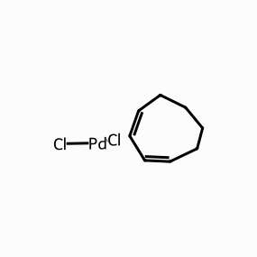 C1=CCCCCC=C1.[Cl][Pd][Cl]